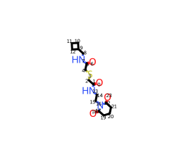 O=C(CSCC(=O)NCC1CCC1)NCCN1C(=O)CCCC1=O